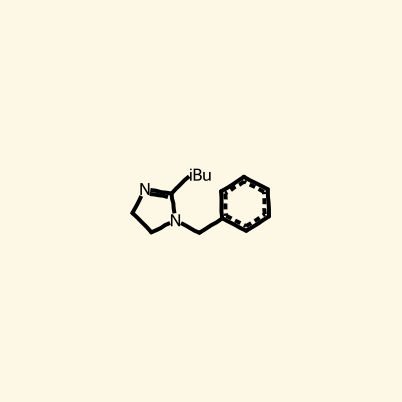 CCC(C)C1=NCCN1Cc1ccccc1